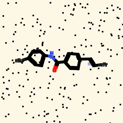 CCC/C=C/c1ccc(C(=O)Nc2ccc(CCCC)cc2)cc1